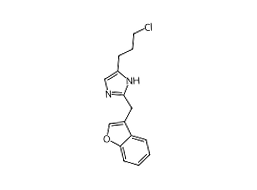 ClCCCc1cnc(Cc2coc3ccccc23)[nH]1